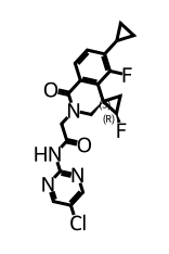 O=C(CN1C[C@]2(C[C@H]2F)c2c(ccc(C3CC3)c2F)C1=O)Nc1ncc(Cl)cn1